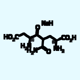 NC(=O)C(C[C@H](N)C(=O)O)C(=O)[C@@H](N)CC(=O)O.[NaH]